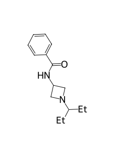 CCC(CC)N1CC(NC(=O)c2ccccc2)C1